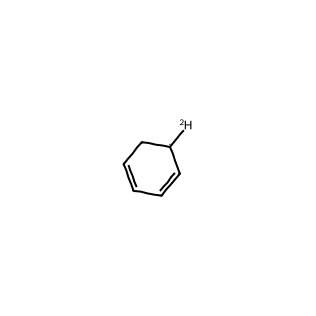 [2H][C]1C=CC=CC1